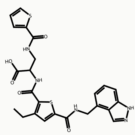 CCc1cc(C(=O)NCc2cccc3[nH]ncc23)sc1C(=O)NC(CNC(=O)c1cccs1)C(=O)O